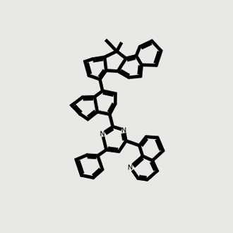 CC1(C)c2cccc(-c3ccc(-c4nc(-c5ccccc5)cc(-c5cccc6cccnc56)n4)c4ccccc34)c2-c2ccc3ccccc3c21